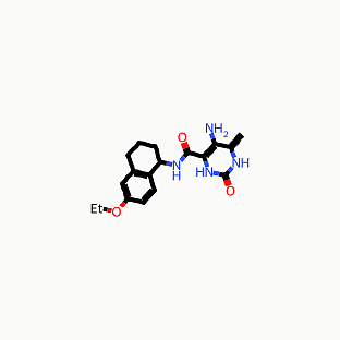 C=C1NC(=O)NC(C(=O)NC2CCCc3cc(OCC)ccc32)=C1N